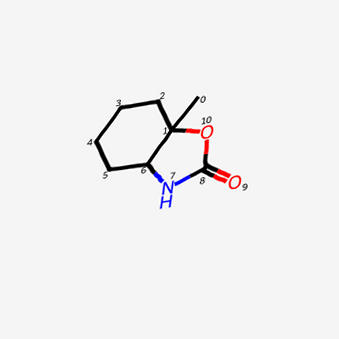 CC12CCCCC1NC(=O)O2